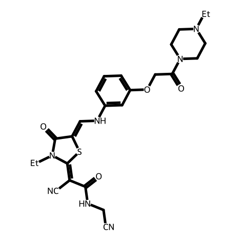 CCN1CCN(C(=O)COc2cccc(NC=c3sc(=C(C#N)C(=O)NCC#N)n(CC)c3=O)c2)CC1